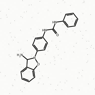 NC1c2ccccc2ON1c1ccc(NC(=O)Nc2ccccc2)cc1